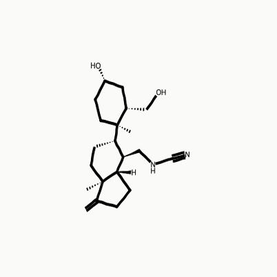 C=C1CC[C@H]2[C@H](CNC#N)[C@@H]([C@@]3(C)CC[C@H](O)C[C@@H]3CO)CC[C@]12C